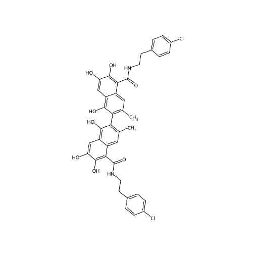 Cc1cc2c(C(=O)NCCc3ccc(Cl)cc3)c(O)c(O)cc2c(O)c1-c1c(C)cc2c(C(=O)NCCc3ccc(Cl)cc3)c(O)c(O)cc2c1O